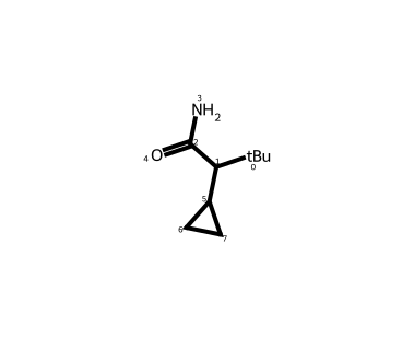 CC(C)(C)C(C(N)=O)C1CC1